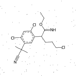 CCOC(=N)C(CCCCl)c1cc(C(C)(C)C#N)c(Cl)cc1Cl